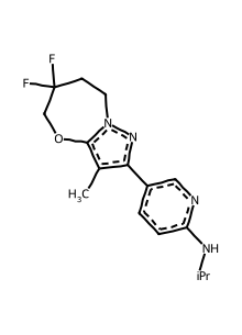 Cc1c(-c2ccc(NC(C)C)nc2)nn2c1OCC(F)(F)CC2